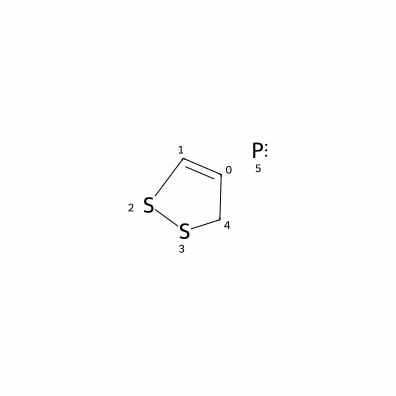 C1=CSSC1.[P]